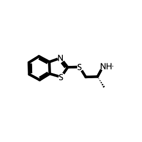 C[C@@H]([NH])CSc1nc2ccccc2s1